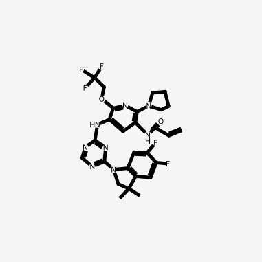 C=CC(=O)Nc1cc(Nc2ncnc(N3CC(C)(C)c4cc(F)c(F)cc43)n2)c(OCC(F)(F)F)nc1N1CCCC1